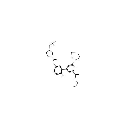 Cc1ccc(NC(=O)N2CC[C@@H](CC(F)(F)F)C2)cc1-c1cc(C(=O)NC[C@H](C)O)nc(N2CCOCC2)c1